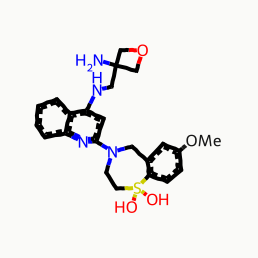 COc1ccc2c(c1)CN(c1cc(NCC3(N)COC3)c3ccccc3n1)CCS2(O)O